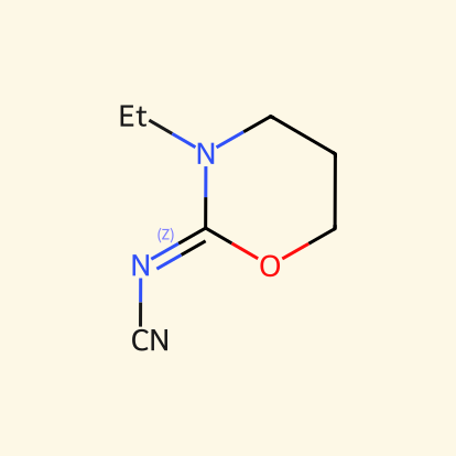 CCN1CCCO/C1=N\C#N